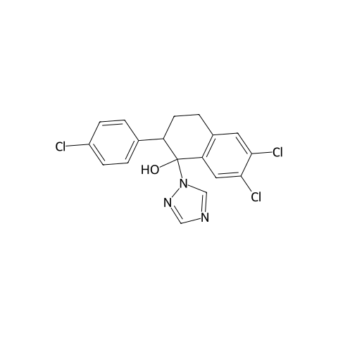 OC1(n2cncn2)c2cc(Cl)c(Cl)cc2CCC1c1ccc(Cl)cc1